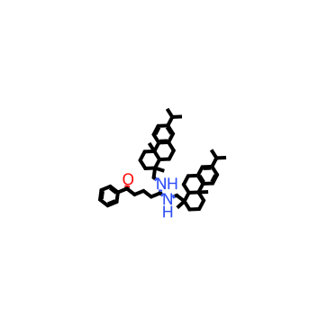 CC(C)c1ccc2c(c1)CCC1C(C)(CNC(CCCC(=O)c3ccccc3)NCC3(C)CCCC4(C)c5ccc(C(C)C)cc5CCC34)CCCC21C